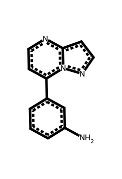 Nc1cccc(-c2ccnc3ccnn23)c1